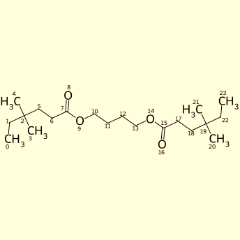 CCC(C)(C)CCC(=O)OCCCCOC(=O)CCC(C)(C)CC